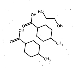 CC1CCC(C(=O)O)CC1.CC1CCC(C(=O)O)CC1.OCCO